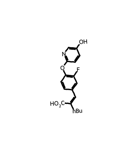 CCCCC(=Cc1ccc(Oc2ccc(O)cn2)c(F)c1)C(=O)O